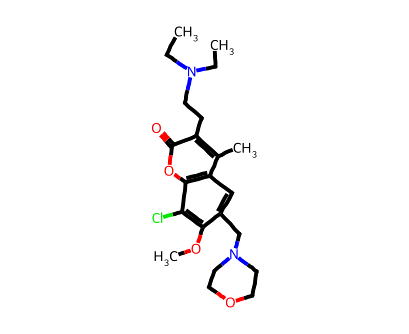 CCN(CC)CCc1c(C)c2cc(CN3CCOCC3)c(OC)c(Cl)c2oc1=O